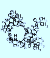 C=C(C)C(=O)N1CC2(CCN(C(=O)N(C)[C@H](C(=O)NC(C3CC3)C3Cc4nc(cs4)-c4ccc5c(c4)c(c(-c4cccnc4[C@H](C)OC)n5CC)CC(C)(C)COC(=O)[C@@H]4CCCN(N4)C3=O)C(C)C)CC2)C1